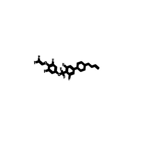 C=CCCC1CCC(c2cc(F)c(C(F)(F)Oc3cc(F)c(OC=C(F)F)c(F)c3)c(F)c2)CC1